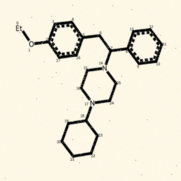 CCOc1ccc(CC(c2ccccc2)N2CCN(C3CCCCC3)CC2)cc1